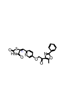 Cc1oc(-c2ccccc2)nc1C(=O)COc1ccc(/C=C2/SC(=O)NC2=O)nc1